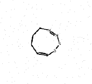 C1=C\SS/N=N\CCC/1